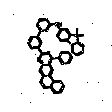 CC1(C)c2ccccc2-c2ccc(Nc3cccc(-c4cccc(-c5nc(-c6ccccc6)c6cc7c(ccc8ccccc87)cc6n5)c4)c3)cc21